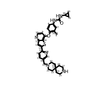 O=C(Nc1ccc(Oc2ccnc3cc(-c4ccc(CN5CCC6(CCNCC6)CC5)cn4)sc23)c(F)c1)NC1CC1